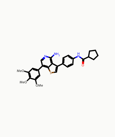 COc1cc(-c2cnc(N)c3c(-c4ccc(NC(=O)C5CCCC5)cc4)csc23)cc(OC)c1OC